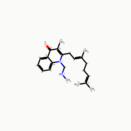 CNCn1c(C/C=C(\C)CCC=C(C)C)c(C)c(=O)c2ccccc21